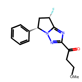 COCCC(=O)c1nc2n(n1)[C@H](c1ccccc1)C[C@@H]2F